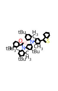 Cc1cc(-c2csc3ccccc23)cc(C)c1N1c2ccc(C(C)(C)C)cc2B2c3oc4ccc(C(C)(C)C)cc4c3N(c3c(C)cc(C(C)(C)C)cc3C)c3cc(C(C)(C)C)cc1c32